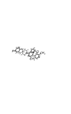 Cc1nccc(-c2c(C)nc(N3CCC4(CC3)Cc3cc(F)cnc3C4)c3ccnn23)c1Cl